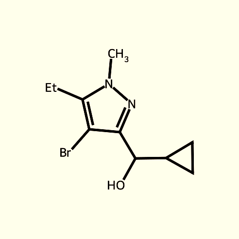 CCc1c(Br)c(C(O)C2CC2)nn1C